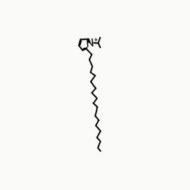 CCCCCCCCCCCCCCCCCCCc1cccc[n+]1C(C)C